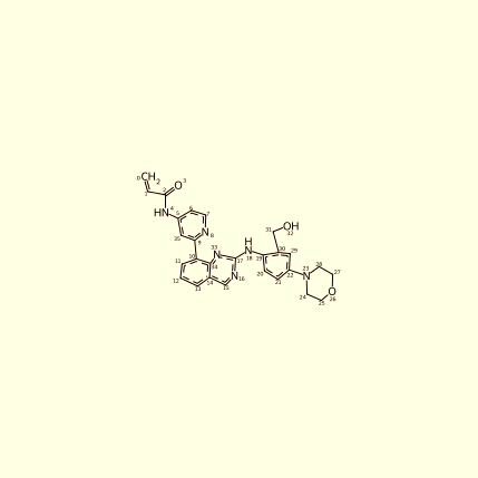 C=CC(=O)Nc1ccnc(-c2cccc3cnc(Nc4ccc(N5CCOCC5)cc4CO)nc23)c1